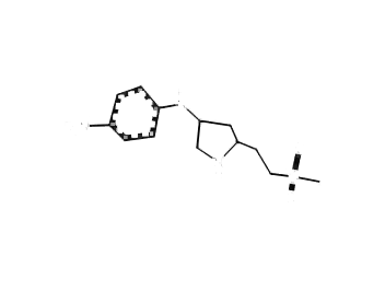 CS(=O)(=O)CCC1CC(Nc2ccc([N+](=O)[O-])cc2)CN1